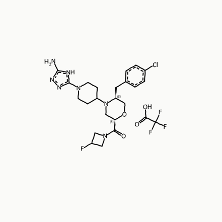 Nc1nnc(N2CCC(N3C[C@H](C(=O)N4CC(F)C4)OC[C@@H]3Cc3ccc(Cl)cc3)CC2)[nH]1.O=C(O)C(F)(F)F